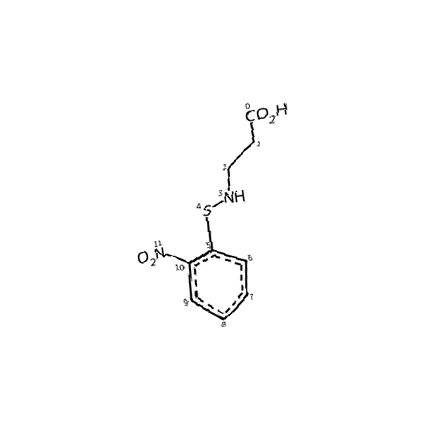 O=C(O)CCNSc1ccccc1[N+](=O)[O-]